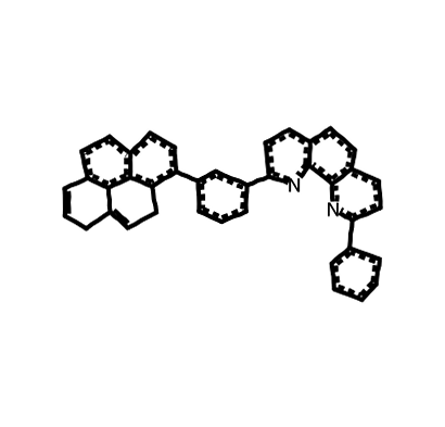 C1=Cc2ccc3ccc(-c4cccc(-c5ccc6ccc7ccc(-c8ccccc8)nc7c6n5)c4)c4c3c2C(=CC4)C1